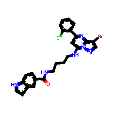 O=C(NCCCCNc1cc(-c2ccccc2Cl)nc2c(Br)cnn12)c1ccc2[nH]ccc2c1